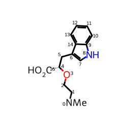 CNCCO[C@@H](Cc1c[nH]c2ccccc12)C(=O)O